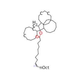 CCCCCCCC/C=C\CCCCCCCC(=O)OC(C1CCCCCCCCC1)(C1CCCCCCCCC1)C(C)C1CCCCCCCCC1